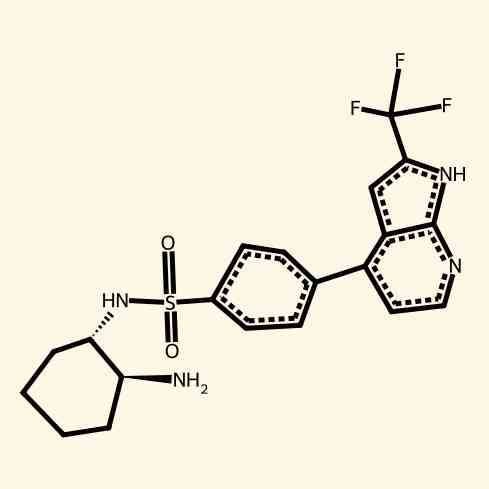 N[C@H]1CCCC[C@@H]1NS(=O)(=O)c1ccc(-c2ccnc3[nH]c(C(F)(F)F)cc23)cc1